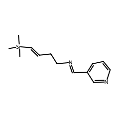 C[Si](C)(C)C=CCCN=Cc1cccnc1